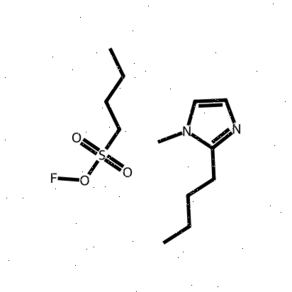 CCCCS(=O)(=O)OF.CCCCc1nccn1C